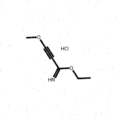 CCOC(=N)C#COC.Cl